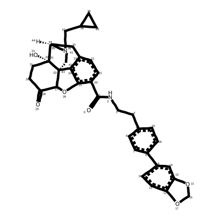 O=C(NCCc1ccc(-c2ccc3c(c2)OCO3)cc1)c1ccc2c3c1OC1C(=O)CC[C@@]4(O)[C@@H](C2)N(CC2CC2)CC[C@]314